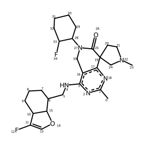 Cc1nc(NCC2CCCC3C(F)=COC23)c2c(n1)C1(CCN(C)C1)C(=O)N(C1CCCCC1F)C2